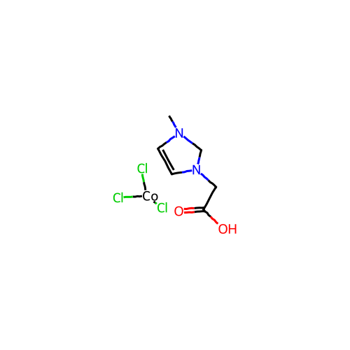 CN1C=CN(CC(=O)O)C1.[Cl][Co]([Cl])[Cl]